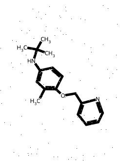 Cc1cc(NC(C)(C)C)ccc1OCc1ccccn1